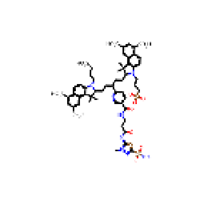 Cn1nc(S(N)(=O)=O)sc1=NC(=O)CCNC(=O)c1ccc(C(C=CC2=[N+](CCCS(=O)(=O)[O-])c3ccc4c(S(=O)(=O)O)cc(S(=O)(=O)O)cc4c3C2(C)C)=CC=C2N(CCCS(=O)(=O)O)c3ccc4c(S(=O)(=O)O)cc(S(=O)(=O)O)cc4c3C2(C)C)nc1